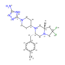 Nc1nnc(N2CCC(N3C[C@@H]4CC(F)(F)CN4C[C@@H]3Cc3ccc(C(F)(F)F)cc3)CC2)[nH]1